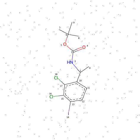 CC(NC(=O)OC(C)(C)C)c1ccc(I)c(Cl)c1Cl